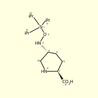 CC(C)[Si](ON[C@@H]1CC[C@@H](C(=O)O)NC1)(C(C)C)C(C)C